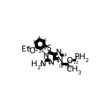 CCOc1cccc(Sc2nc(N)nc3c2ncn3CC(C)OCP)c1